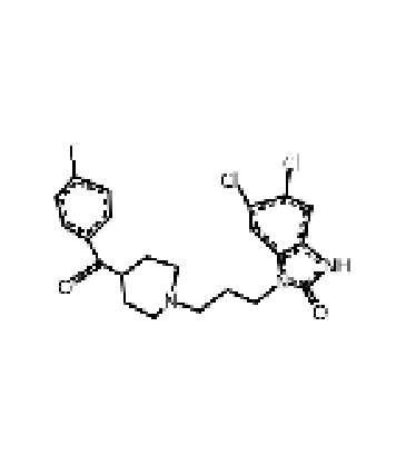 O=C(c1ccc(F)cc1)C1CCN(CCCn2c(=O)[nH]c3cc(Cl)c(Cl)cc32)CC1